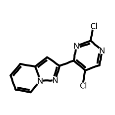 Clc1ncc(Cl)c(-c2cc3ccccn3n2)n1